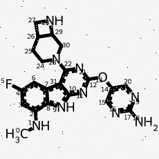 CNc1cc(F)cc2c1[nH]c1nc(Oc3cnc(N)nc3)nc(N3CCC4CNC4C3)c12